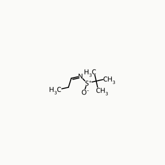 CC/C=N\[S+]([O-])C(C)(C)C